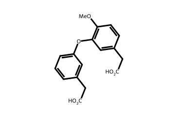 COc1ccc(CC(=O)O)cc1Oc1cccc(CC(=O)O)c1